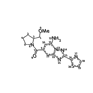 COCC1CCCN1C(=O)c1cc(N)n2nc(-c3nccs3)nc2c1